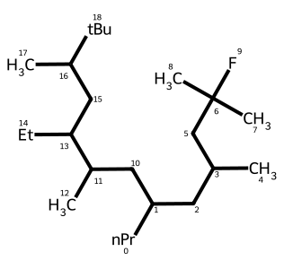 CCCC(CC(C)CC(C)(C)F)CC(C)C(CC)CC(C)C(C)(C)C